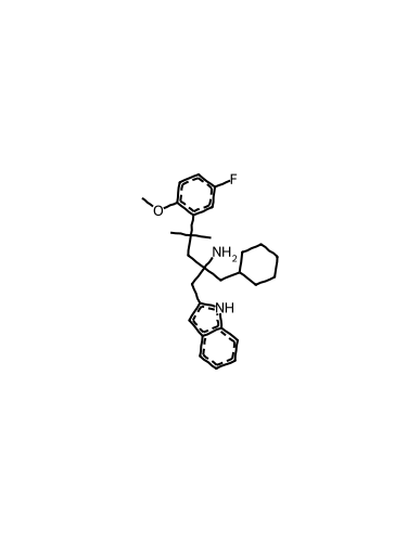 COc1ccc(F)cc1C(C)(C)CC(N)(Cc1cc2ccccc2[nH]1)CC1CCCCC1